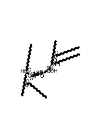 CCCCCCCCCCCCCC(=O)N[C@H](CCCC(CCCCCCCC)OC(=O)CCCCCCCCCCCC)COP(=O)(O)OCCNC(=O)NCCOP(=O)(O)OC[C@@H](CCCC(CCCCCCCC)OC(=O)CCCCCCCCCCCC)NC(=O)CCCCCCCCCCCCC